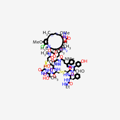 CCNC(=O)N[C@H](Cc1ccccc1)C(=O)N[C@@H](CSSC[C@H](NC(=O)[C@@H](NC(=O)[C@H](CCCCN)NC(=O)[C@@H](Cc1c[nH]c2ccccc12)NC)[C@@H](C)O)C(=O)N[C@H](C(=O)N[C@@H](CSSCCC(=O)N(C)[C@@H](C)C(=O)O[C@H]1CC(=O)N(C)c2cc(cc(OC)c2Cl)C/C(C)=C/C=C/[C@@H](OC)[C@@]2(O)C[C@H](OC(=O)N2)[C@@H](C)[C@@H]2O[C@@]12C)C(N)=O)[C@@H](C)O)C(=O)N[C@H](C=O)Cc1ccc(O)cc1